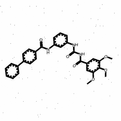 COc1cc(C(=O)NC(=O)Nc2cccc(NC(=O)c3ccc(-c4ccccc4)cc3)c2)cc(OC)c1OC